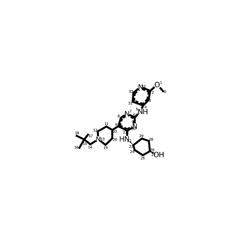 COc1cc(Nc2ncc(C3CCN(CC(C)(C)C)CC3)c(N[C@H]3CC[C@H](O)CC3)n2)ccn1